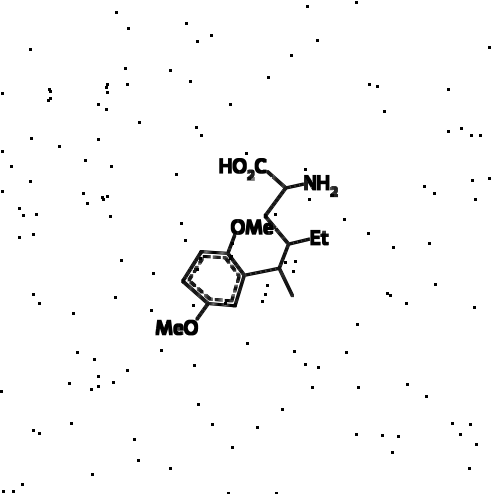 CCC(CC(N)C(=O)O)C(C)c1cc(OC)ccc1OC